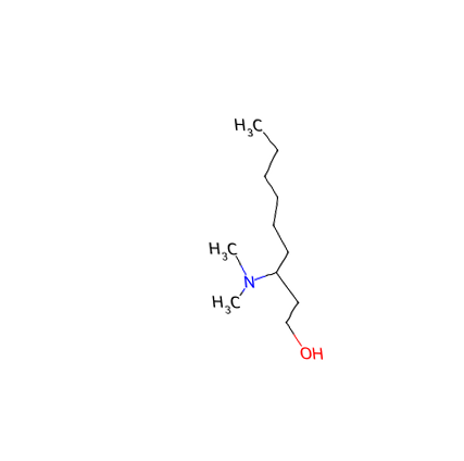 CCCCCCC(CCO)N(C)C